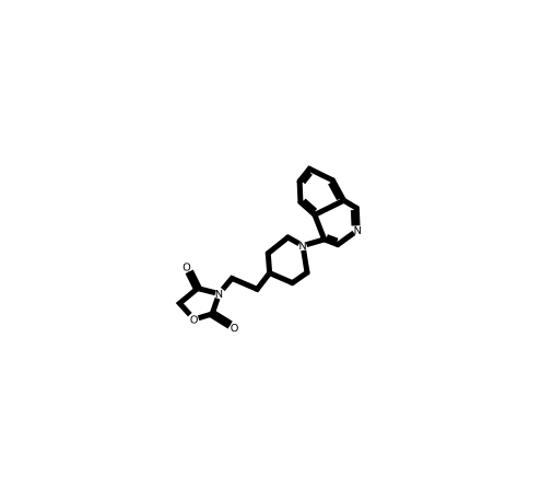 O=C1COC(=O)N1CCC1CCN(c2cncc3ccccc23)CC1